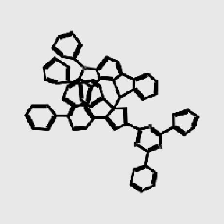 C1=C(c2nc(-c3ccccc3)nc(-c3ccccc3)n2)C=C(c2ccc(-c3ccccc3)cc2)C1(c1ccc(-c2ccccc2)cc1)C1c2ccccc2-c2ccc3c(c21)c1ccccc1n3-c1ccccc1